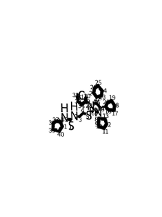 S=C(NCCSP1N(c2ccccc2)[C@H](c2ccccc2)[C@@H](c2ccccc2)N1c1ccccc1)Nc1ccccc1